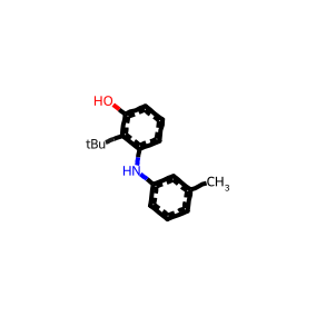 Cc1cccc(Nc2cccc(O)c2C(C)(C)C)c1